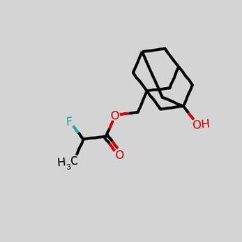 CC(F)C(=O)OCC12CC3CC(CC(O)(C3)C1)C2